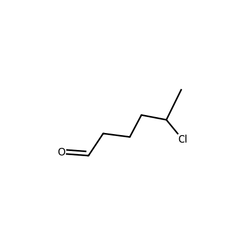 CC(Cl)CCCC=O